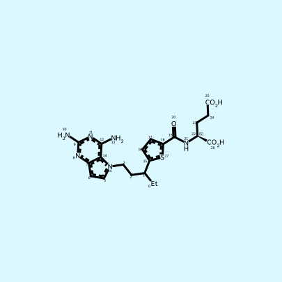 CCC(CCn1ccc2nc(N)nc(N)c21)c1ccc(C(=O)N[C@@H](CCC(=O)O)C(=O)O)s1